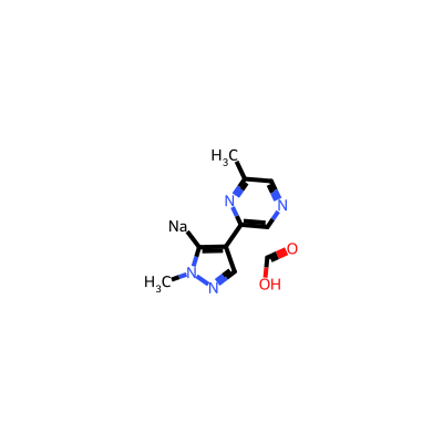 Cc1cncc(-c2cnn(C)[c]2[Na])n1.O=CO